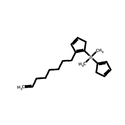 C=CCCCCCCC1=[C]([Zr]([CH3])([CH3])[C]2=CC=CC2)CC=C1